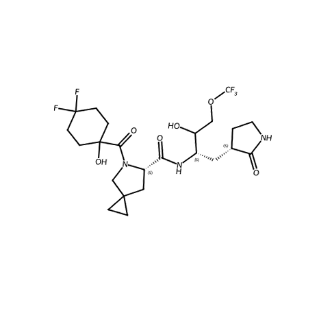 O=C1NCC[C@H]1C[C@H](NC(=O)[C@@H]1CC2(CC2)CN1C(=O)C1(O)CCC(F)(F)CC1)C(O)COC(F)(F)F